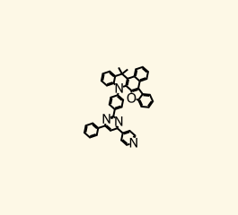 CC1(C)c2ccccc2N(c2ccc(-c3nc(-c4ccccc4)cc(-c4ccncc4)n3)cc2)c2c1c1ccccc1c1c2oc2ccccc21